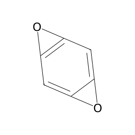 c1c2oc2cc2oc12